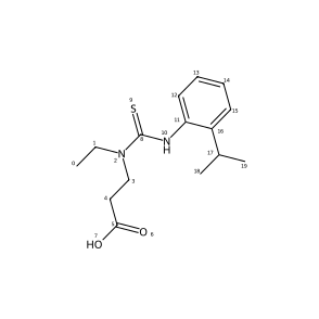 CCN(CCC(=O)O)C(=S)Nc1ccccc1C(C)C